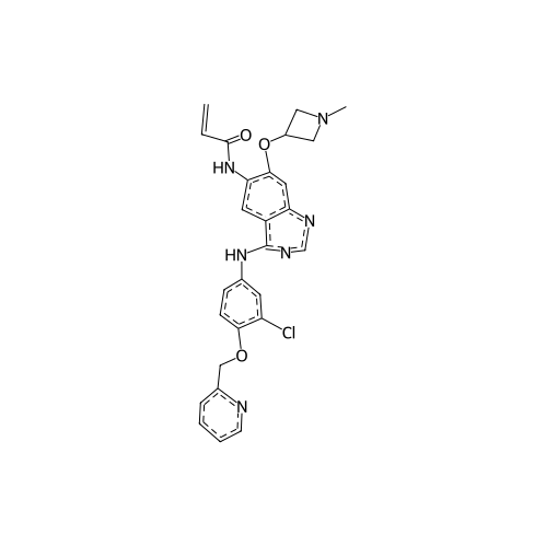 C=CC(=O)Nc1cc2c(Nc3ccc(OCc4ccccn4)c(Cl)c3)ncnc2cc1OC1CN(C)C1